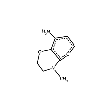 CN1CCOc2c(N)cccc21